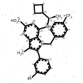 Cc1c(-c2cc(C(C)C)ccn2)n(Cc2ccc(C(F)(F)F)cc2)c2c(N[C@H](C)C3CCC3)nc(C(=O)O)nc12